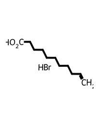 Br.C=CCCCCCCCCC(=O)O